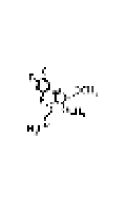 COCCO[C@H]1C(OC)[C@@H](COC)O[C@H]1c1cc(C)c(F)cc1F